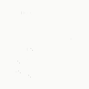 O=C(O)CCc1cc(Cl)ccc1Nc1cn[nH]n1